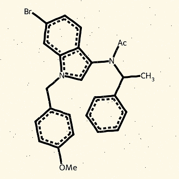 COc1ccc(Cn2cc(N(C(C)=O)C(C)c3ccccc3)c3ccc(Br)cc32)cc1